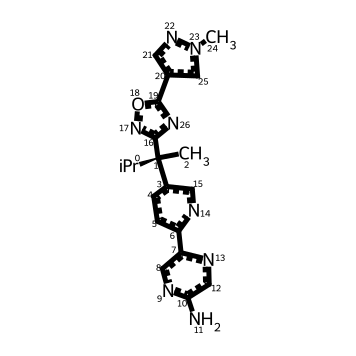 CC(C)[C@@](C)(c1ccc(-c2cnc(N)cn2)nc1)c1noc(-c2cnn(C)c2)n1